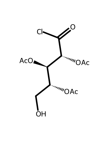 CC(=O)O[C@H]([C@@H](CO)OC(C)=O)[C@@H](OC(C)=O)C(=O)Cl